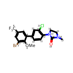 COc1c(Br)cc(C(F)(F)F)cc1-c1ccc(N2CCN(C)C2=O)c(Cl)c1